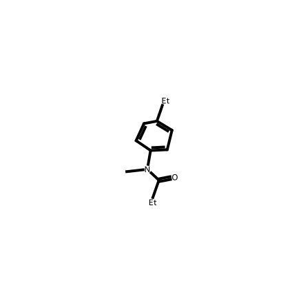 CCC(=O)N(C)c1ccc(CC)cc1